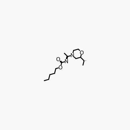 C[CH]C1CN(C(C)=NC(=O)OCCCCC)CCO1